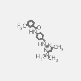 Cc1cc(N(C)C)nc(NCC2CCC(NC(=O)c3cccc(C(F)(F)F)c3)CC2)n1